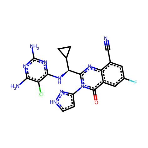 N#Cc1cc(F)cc2c(=O)n(-c3cc[nH]n3)c([C@@H](Nc3nc(N)nc(N)c3Cl)C3CC3)nc12